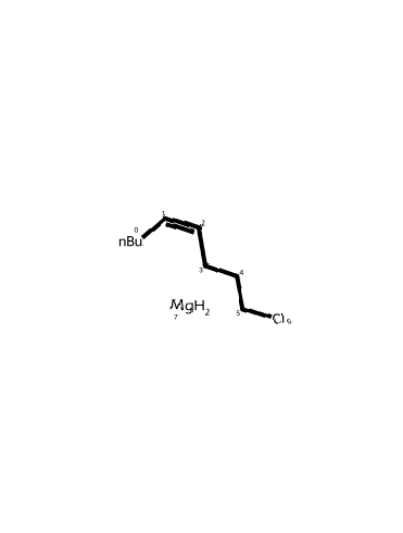 CCCC/C=C\CCCCl.[MgH2]